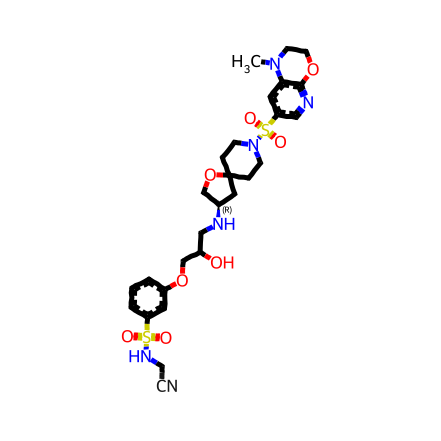 CN1CCOc2ncc(S(=O)(=O)N3CCC4(CC3)C[C@@H](NCC(O)COc3cccc(S(=O)(=O)NCC#N)c3)CO4)cc21